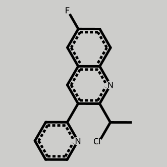 CC(Cl)c1nc2ccc(F)cc2cc1-c1ccccn1